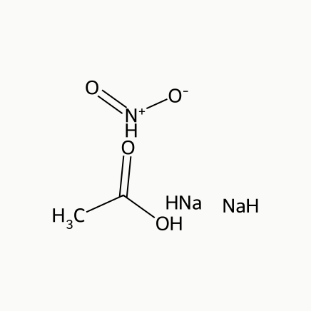 CC(=O)O.O=[NH+][O-].[NaH].[NaH]